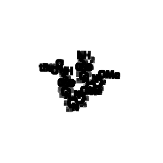 COc1ccc2nccc(N3CCC(S(=O)(=O)CCN)C3)c2n1.COc1ccc2nccc(N3CCC(S(=O)(=O)CCNC(=O)OC(C)(C)C)C3)c2n1